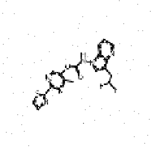 Cc1nc(-c2nccs2)ncc1OC(=O)Nn1cc(CC(F)F)c2ncccc21